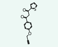 C#CCOc1ccc(C(=O)CC(=O)c2cccs2)cc1